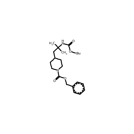 CC(C)(CC1CCN(C(=O)OCc2ccccc2)CC1)NC(=O)OC(C)(C)C